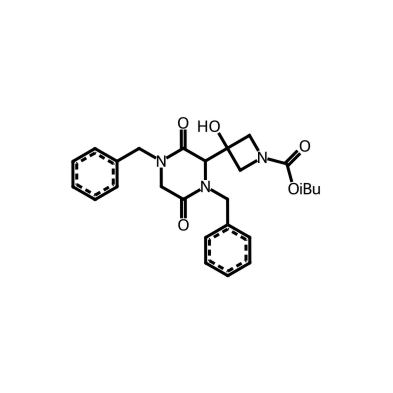 CC(C)COC(=O)N1CC(O)(C2C(=O)N(Cc3ccccc3)CC(=O)N2Cc2ccccc2)C1